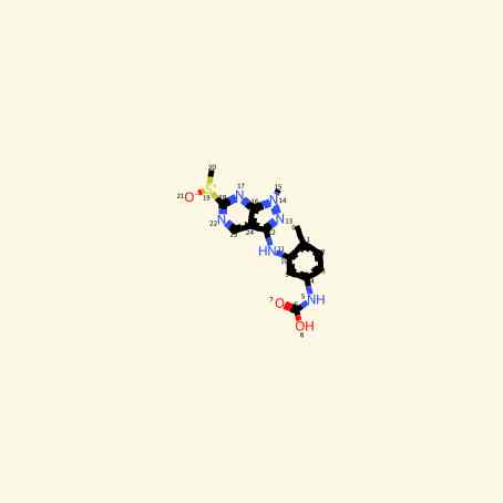 Cc1ccc(NC(=O)O)cc1Nc1nn(C)c2nc([S+](C)[O-])ncc12